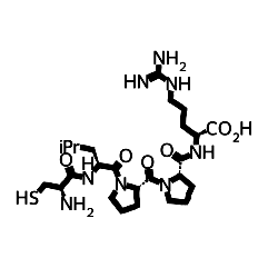 CC(C)C[C@H](NC(=O)[C@@H](N)CS)C(=O)N1CCC[C@H]1C(=O)N1CCC[C@H]1C(=O)N[C@@H](CCCNC(=N)N)C(=O)O